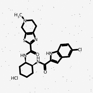 CN1CCc2nc(C(=O)N[C@@H]3CCCC[C@@H]3NC(=O)c3cc4cc(Cl)ccc4[nH]3)sc2C1.Cl